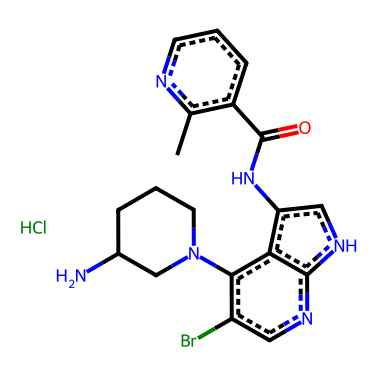 Cc1ncccc1C(=O)Nc1c[nH]c2ncc(Br)c(N3CCCC(N)C3)c12.Cl